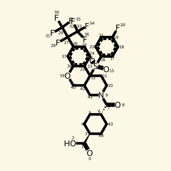 O=C(O)[C@H]1CC[C@H](C(=O)N2CCC3(S(=O)(=O)c4ccc(F)cc4)c4ccc(C(F)(C(F)(F)F)C(F)(F)F)cc4OCC3C2)CC1